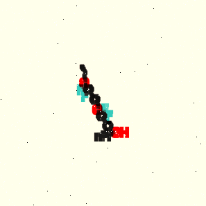 C#CCCCOc1ccc(-c2ccc(COc3ccc(C4CCC(C(O)CCC)CC4)c(F)c3F)cc2)c(F)c1F